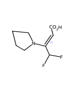 O=C(O)/C=C(/C(F)F)N1CCCC1